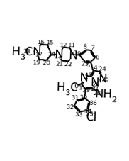 Cc1nc2c(-c3cccc(N4CCN(C5CCN(C)CC5)CC4)c3)cnn2c(N)c1-c1cccc(Cl)c1